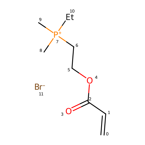 C=CC(=O)OCC[P+](C)(C)CC.[Br-]